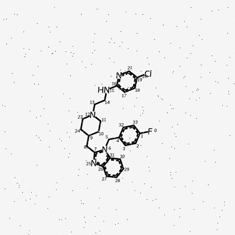 Fc1ccc(Cn2c(CC3CCN(CCNc4ccc(Cl)cn4)CC3)nc3ccccc32)cc1